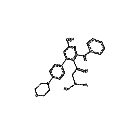 CN(C)CC(=N)c1c(-c2ccc(N3CCOCC3)cc2)cc(C(=O)O)nc1Nc1ccccc1